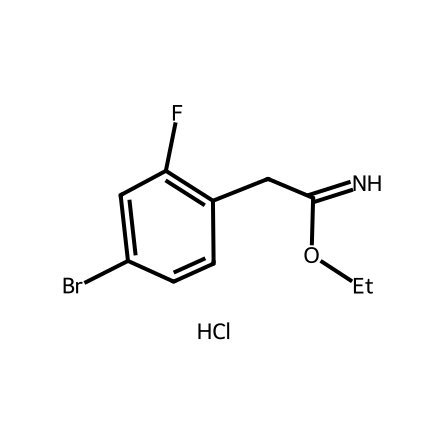 CCOC(=N)Cc1ccc(Br)cc1F.Cl